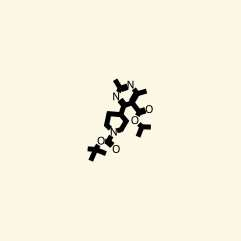 Cc1nc(C)c(C(=O)OC(C)C)c(C2CCN(C(=O)OC(C)(C)C)CC2)n1